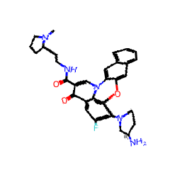 CN1CCCC1CCNC(=O)c1cn2c3c(c(N4CC[C@@H](N)C4)c(F)cc3c1=O)Oc1cc3ccccc3cc1-2